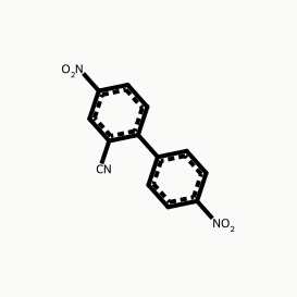 N#Cc1cc([N+](=O)[O-])ccc1-c1ccc([N+](=O)[O-])cc1